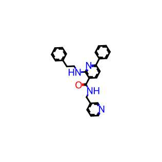 O=C(NCc1cccnc1)c1ccc(-c2ccccc2)nc1NCCc1ccccc1